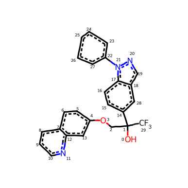 OC(COc1ccc2cccnc2c1)(c1ccc2c(cnn2-c2ccccc2)c1)C(F)(F)F